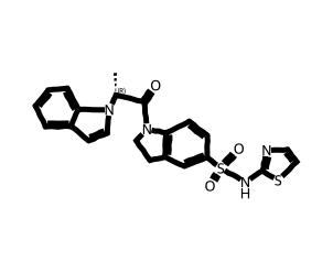 C[C@H](C(=O)N1CCc2cc(S(=O)(=O)Nc3nccs3)ccc21)n1ccc2ccccc21